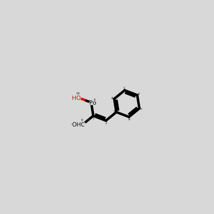 O=[C][C](=Cc1ccccc1)[Po][OH]